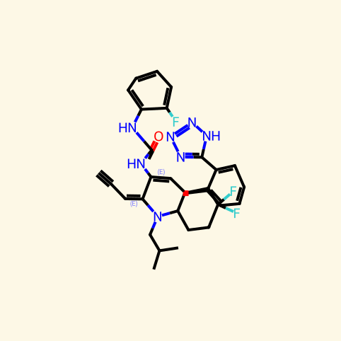 C#C/C=C(\C(=C/Cc1ccccc1-c1nnn[nH]1)NC(=O)Nc1ccccc1F)N(CC(C)C)C1CCC(F)(F)CC1